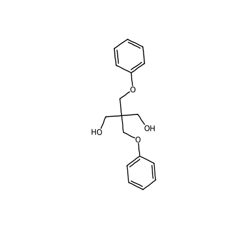 OCC(CO)(COc1ccccc1)COc1ccccc1